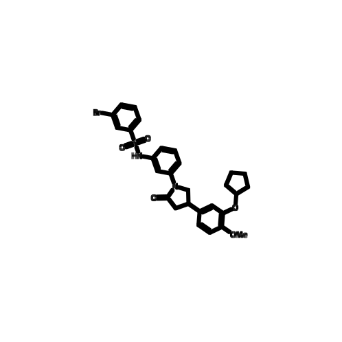 COc1ccc(C2CC(=O)N(c3cccc(NS(=O)(=O)c4cccc(Br)c4)c3)C2)cc1OC1CCCC1